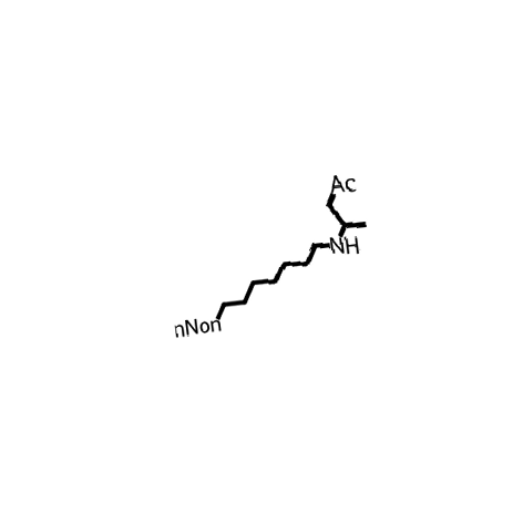 CCCCCCCCCCCCCCCCNC(C)CC(C)=O